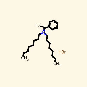 Br.CCCCCCCCN(CCCCCCCC)C(C)c1ccccc1